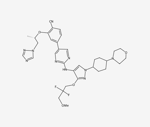 COCC(F)(F)COc1nn(C2CCC(N3CCOCC3)CC2)cc1Nc1ncc(-c2ccc(C#N)c(O[C@@H](C)Cn3cncn3)c2)cn1